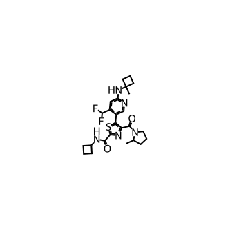 CC1CCCN1C(=O)c1nc(C(=O)NC2CCC2)sc1-c1cnc(NC2(C)CCC2)cc1C(F)F